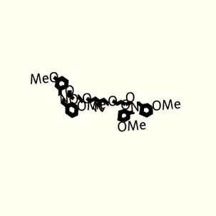 COc1cccc(CN(Cc2cccc(OC)c2)C(=O)OCCOCCC(CCOCCOC(=O)N(Cc2cccc(OC)c2)Cc2cccc(OC)c2)N(C)C)c1